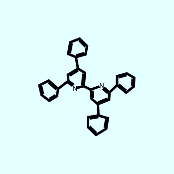 c1ccc(-c2cc(-c3ccccc3)nc(-c3cc(-c4ccccc4)cc(-c4ccccc4)n3)c2)cc1